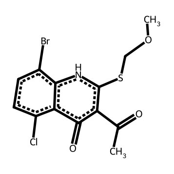 COCSc1[nH]c2c(Br)ccc(Cl)c2c(=O)c1C(C)=O